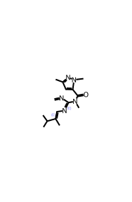 C=N/C(=N\C=C(/C)C(C)C)N(C)C(=O)c1cc(C)nn1C